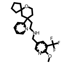 COc1ncc(CNCCC2(c3ccccn3)CCOC3(CCCC3)C2)cc1C(F)(F)F